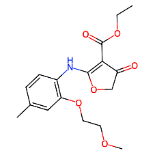 CCOC(=O)C1=C(Nc2ccc(C)cc2OCCOC)OCC1=O